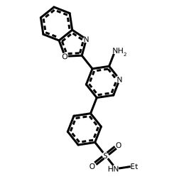 CCNS(=O)(=O)c1cccc(-c2cnc(N)c(-c3nc4ccccc4o3)c2)c1